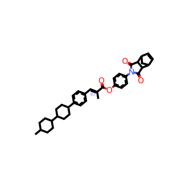 C/C(=C\c1ccc(C2CCC(C3CCC(C)CC3)CC2)cc1)C(=O)Oc1ccc(N2C(=O)C3C4C=CC(C4)C3C2=O)cc1